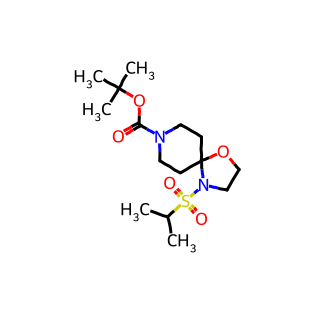 CC(C)S(=O)(=O)N1CCOC12CCN(C(=O)OC(C)(C)C)CC2